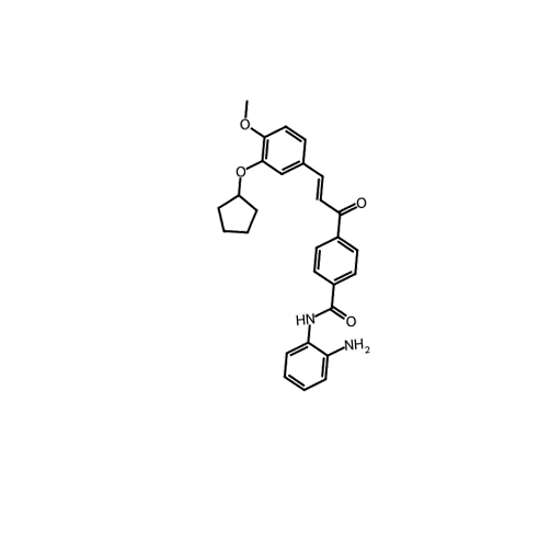 COc1ccc(C=CC(=O)c2ccc(C(=O)Nc3ccccc3N)cc2)cc1OC1CCCC1